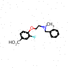 CN(CCOc1ccc(C(=O)O)cc1F)Cc1ccccc1